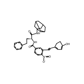 O=C(N[C@@H](CCc1ccccc1)C(=O)NC12CC3CC(CC(C3)C1)C2)c1ccc([N+](=O)[O-])c(C#CC2=CC=C(O)CC2)c1